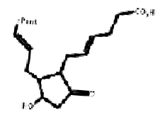 CCCCCC=CCC1C(O)CC(=O)C1CC=CCCC(=O)O